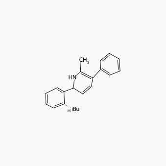 CC[C@@H](C)c1ccccc1C1C=CC(c2ccccc2)=C(C)N1